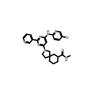 CNC(=O)C1CCCC2(CCN(c3cc(Nc4ccc(Cl)cn4)nc(-c4cccnc4)n3)C2)C1